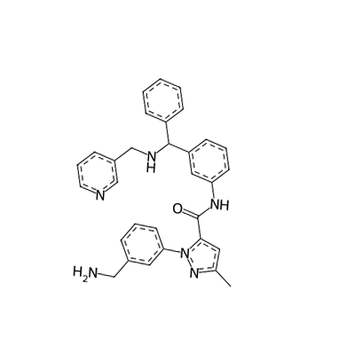 Cc1cc(C(=O)Nc2cccc(C(NCc3cccnc3)c3ccccc3)c2)n(-c2cccc(CN)c2)n1